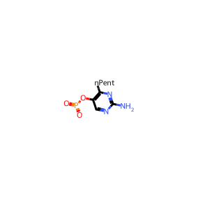 CCCCCc1nc(N)ncc1OP(=O)=O